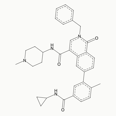 Cc1ccc(C(=O)NC2CC2)cc1-c1ccc2c(=O)n(Cc3ccccc3)cc(C(=O)NC3CCN(C)CC3)c2c1